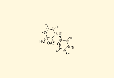 CC(=O)OC1C(O)OC(C)[C@H](C)[C@@H]1O[C@@H]1OC(C)[C@H](C)[C@H](C)C1C